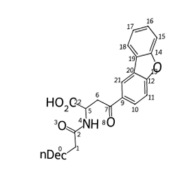 CCCCCCCCCCCC(=O)NC(CC(=O)c1ccc2oc3ccccc3c2c1)C(=O)O